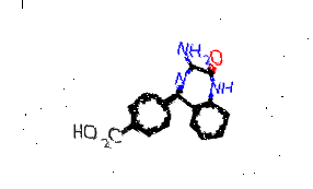 NC1N=C(c2ccc(C(=O)O)cc2)c2ccccc2NC1=O